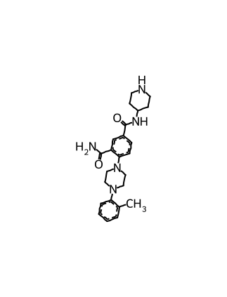 Cc1ccccc1N1CCN(c2ccc(C(=O)NC3CCNCC3)cc2C(N)=O)CC1